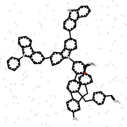 C=Cc1ccc(CC2(Cc3ccc(C=C)cc3)c3cc(C)ccc3-c3ccc(-c4cc(C)cc(-n5c6ccc(-c7ccc8[nH]c9ccccc9c8c7)cc6c6cc(-c7ccc8c(c7)c7ccccc7n8-c7ccccc7)ccc65)c4)cc32)cc1